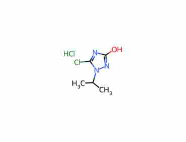 CC(C)n1nc(O)nc1Cl.Cl